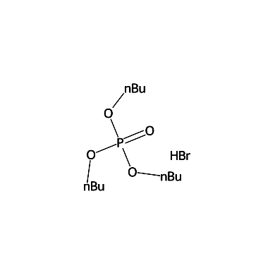 Br.CCCCOP(=O)(OCCCC)OCCCC